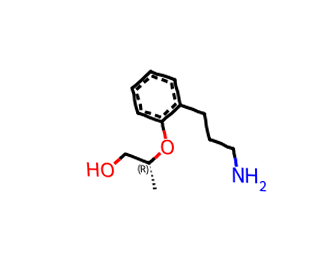 C[C@H](CO)Oc1ccccc1CCCN